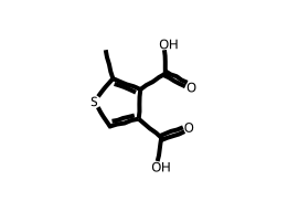 Cc1scc(C(=O)O)c1C(=O)O